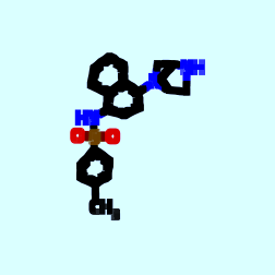 Cc1ccc(S(=O)(=O)Nc2ccc(N3CC4CC3CN4)c3ccccc23)cc1